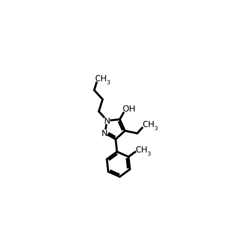 CCCCn1nc(-c2ccccc2C)c(CC)c1O